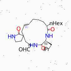 CCCCCCC1CCC/C=C/CC2(CCNC2=O)C[C@@H](C=O)NC(=O)[C@H](CC(C)C)NC1=O